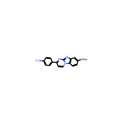 COc1ccc2c(c1)nc1nc(-c3ccc(N)cc3)ccn12